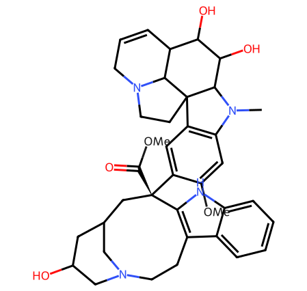 COC(=O)[C@]1(c2cc3c(cc2OC)N(C)C2C(O)C(O)C4C=CCN5CCC32C45)CC2CC(O)CN(CCc3c1[nH]c1ccccc31)C2